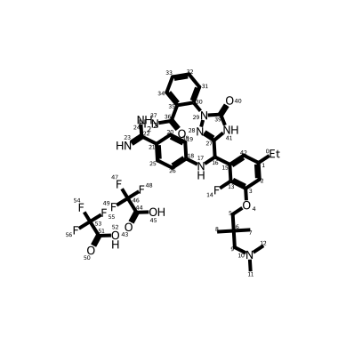 CCc1cc(OCC(C)(C)CN(C)C)c(F)c(C(Nc2ccc(C(=N)N)cc2)c2nn(-c3ccccc3C(N)=O)c(=O)[nH]2)c1.O=C(O)C(F)(F)F.O=C(O)C(F)(F)F